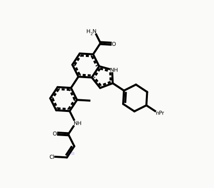 CCCC1CC=C(c2cc3c(-c4cccc(NC(=O)/C=C\Cl)c4C)ccc(C(N)=O)c3[nH]2)CC1